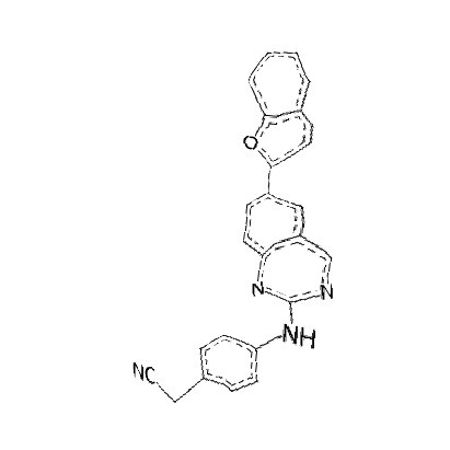 N#CCc1ccc(Nc2ncc3cc(-c4cc5ccccc5o4)ccc3n2)cc1